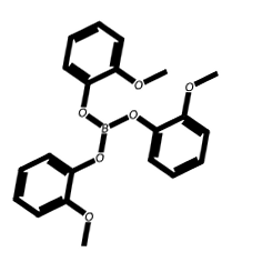 COc1ccccc1OB(Oc1ccccc1OC)Oc1ccccc1OC